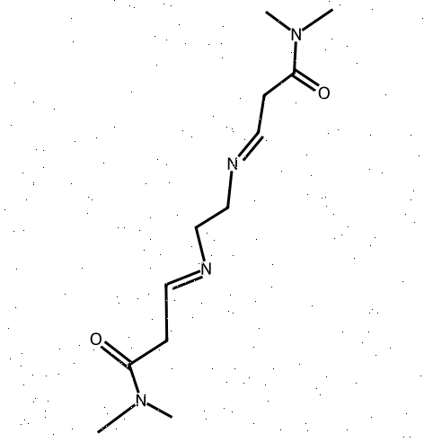 CN(C)C(=O)C/C=N/CC/N=C/CC(=O)N(C)C